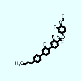 C=CCCc1ccc(-c2ccc(-c3ccc(C(F)(F)Oc4ccc(OCF)c(F)c4)c(F)c3)c(F)c2)cc1